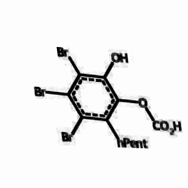 CCCCCc1c(Br)c(Br)c(Br)c(O)c1OC(=O)O